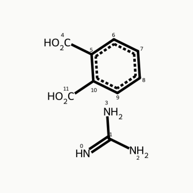 N=C(N)N.O=C(O)c1ccccc1C(=O)O